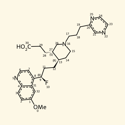 COc1ccc2nccc([C@H](F)CC[C@@H]3CCN(CCCc4cnccn4)C[C@H]3CCC(=O)O)c2c1